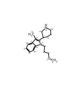 COCCCn1c(C2CCCNC2)c(C)c2ccccc21